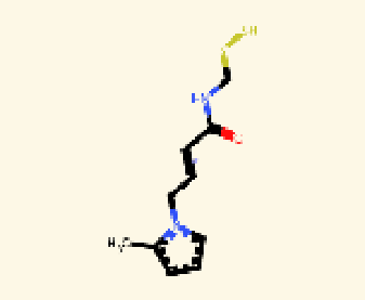 Cc1cccn1C/C=C/C(=O)NCSS